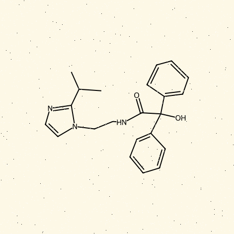 CC(C)c1nccn1CCNC(=O)C(O)(c1ccccc1)c1ccccc1